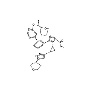 C[C@H](Oc1cccc(-c2cccc(-n3ncc(C(=O)O)c3C3CC3c3cn(C4CCOCC4)nn3)c2)c1)C1CCCCC1